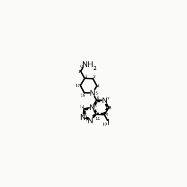 NCC1CCN(c2ncc(I)c3nncn23)CC1